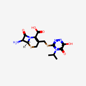 CC(C)n1c(SCC2=C(C(=O)O)N3C(=O)C(N)[C@@H]3SC2)nnc(O)c1=O